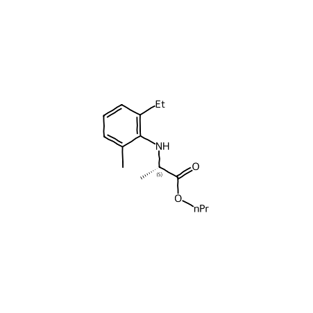 CCCOC(=O)[C@H](C)Nc1c(C)cccc1CC